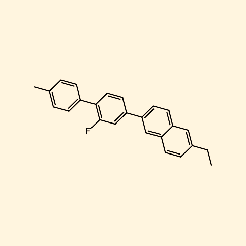 CCc1ccc2cc(-c3ccc(-c4ccc(C)cc4)c(F)c3)ccc2c1